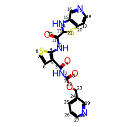 O=C(NC(=O)c1ccsc1NC(=O)C1Nc2cnccc2S1)OCc1cccnc1